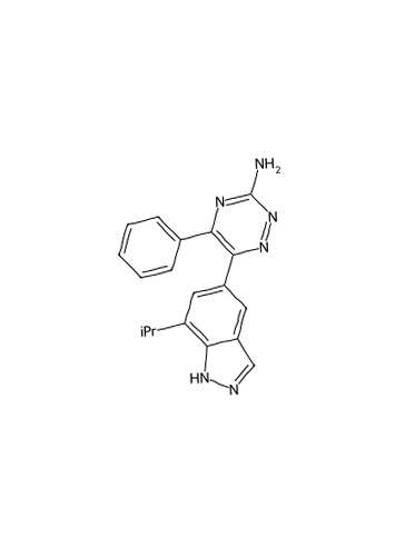 CC(C)c1cc(-c2nnc(N)nc2-c2ccccc2)cc2cn[nH]c12